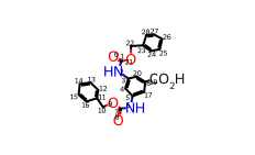 O=C(Nc1cc(NC(=O)OCc2ccccc2)cc(C(=O)O)c1)OCc1ccccc1